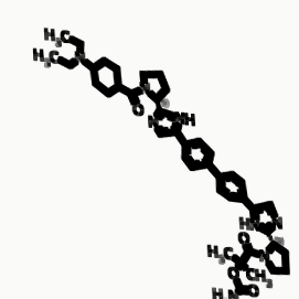 CCN(CC)C1CCC(C(=O)N2CCC[C@H]2c2ncc(-c3ccc(-c4ccc(-c5cnc([C@@H]6CCCN6C(=O)C(C)(C)OC(N)=O)[nH]5)cc4)cc3)[nH]2)CC1